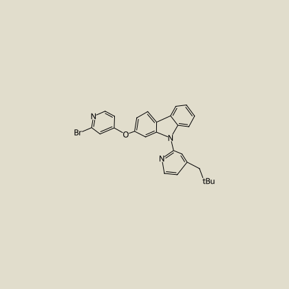 CC(C)(C)Cc1ccnc(-n2c3ccccc3c3ccc(Oc4ccnc(Br)c4)cc32)c1